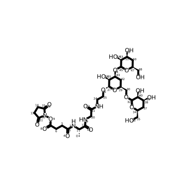 C[C@H](NC(=O)CCC(=O)ON1C(=O)CCC1=O)C(=O)NCC(=O)NCCO[C@H]1O[C@H](COC2O[C@H](CO)C[C@H](O)[C@@H]2O)C[C@H](OC2O[C@H](CO)C[C@H](O)[C@@H]2O)[C@@H]1O